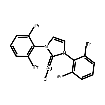 CC(C)c1cccc(C(C)C)c1-n1ccn(-c2c(C(C)C)cccc2C(C)C)[c]1=[Ag][Cl]